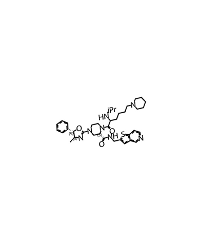 CC(C)NC(CCCCN1CCCCC1)C(=O)N1CCN(C2=N[C@@H](C)[C@H](c3ccccc3)O2)C[C@H]1C(=O)NCc1cc2cnccc2s1